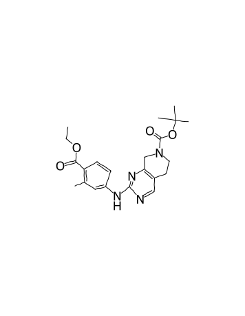 CCOC(=O)c1ccc(Nc2ncc3c(n2)CN(C(=O)OC(C)(C)C)CC3)cc1C